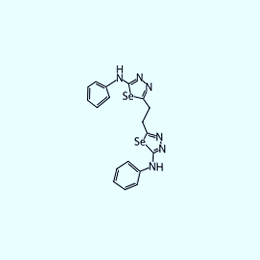 c1ccc(Nc2nnc(CCc3nnc(Nc4ccccc4)[se]3)[se]2)cc1